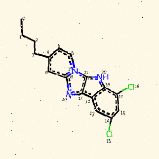 CCCCc1ccn2c(c1)nc1c3cc(Cl)cc(Cl)c3[nH]c12